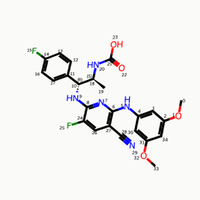 COc1cc(Nc2nc(N[C@H](c3ccc(F)cc3)[C@H](C)NC(=O)O)c(F)cc2C#N)cc(OC)c1